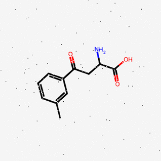 Cc1cccc(C(=O)CC(N)C(=O)O)c1